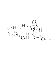 CN1C(=O)[C@@H](Cc2ccc(O)cc2)NC(=O)CNC(=O)[C@H](Cc2ccc3ccccc3c2)NC(=O)[C@H](CCCNC(=N)N)NC(=O)[C@H]1CCCNC(=O)c1ccc(CNC(=O)CN2CCN(CC(=O)O)CCN(CC(=O)O)CCN(CC(=O)O)CC2)cc1